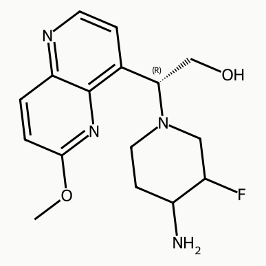 COc1ccc2nccc([C@H](CO)N3CCC(N)C(F)C3)c2n1